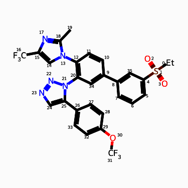 CCS(=O)(=O)c1cccc(-c2ccc(-n3cc(C(F)(F)F)nc3C)c(-n3nncc3-c3ccc(OC(F)(F)F)cc3)c2)c1